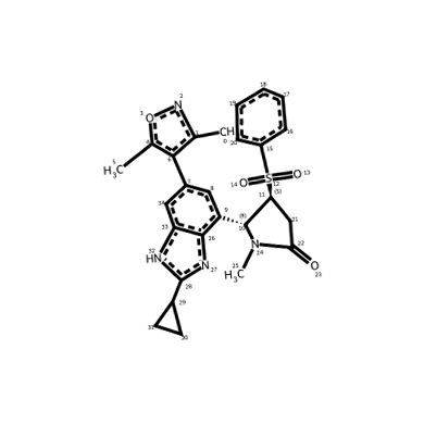 Cc1noc(C)c1-c1cc([C@@H]2[C@@H](S(=O)(=O)c3ccccc3)CC(=O)N2C)c2nc(C3CC3)[nH]c2c1